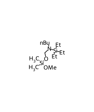 CCCCN(CO[Si](C)(C)OC)[Si](CC)(CC)CC